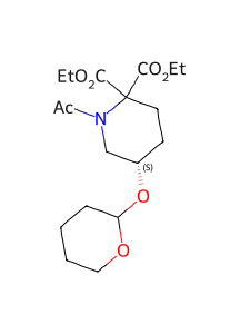 CCOC(=O)C1(C(=O)OCC)CC[C@H](OC2CCCCO2)CN1C(C)=O